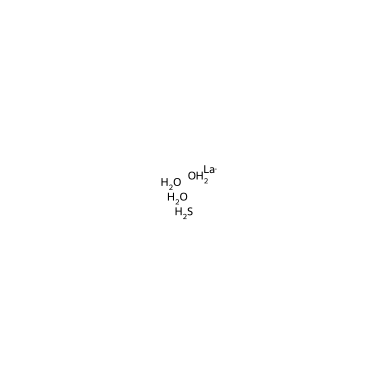 O.O.O.S.[La]